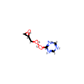 c1ncnc(OOCC2CO2)n1